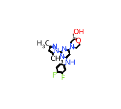 Cc1cc(C)n(-c2nc(Nc3ccc(F)c(F)c3)cc(N3CCO[C@@H](CO)C3)n2)n1